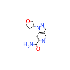 NC(=O)c1cc2c(cn1)cnn2C1CCOC1